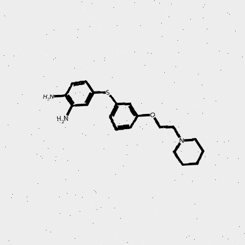 Nc1ccc(Sc2cccc(OCCN3CCCCC3)c2)cc1N